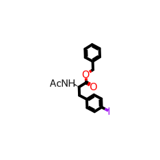 CC(=O)N[C@@H](Cc1ccc(I)cc1)C(=O)OCc1ccccc1